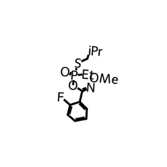 CCP(=O)(OC(=NOC)c1ccccc1F)SCC(C)C